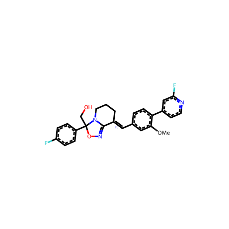 COc1cc(/C=C2\CCCN3C2=NOC3(CO)c2ccc(F)cc2)ccc1-c1ccnc(F)c1